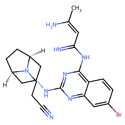 C/C(N)=C/C(=N)Nc1nc(N[C@@H]2C[C@H]3CC[C@@H](C2)N3CCC#N)nc2cc(Br)ccc12